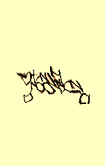 O=C(N[C@@H](Cc1ccccc1)C(=O)NC1CCC1)c1cc2cc(Cl)ncc2[nH]1